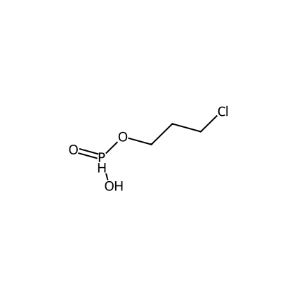 O=[PH](O)OCCCCl